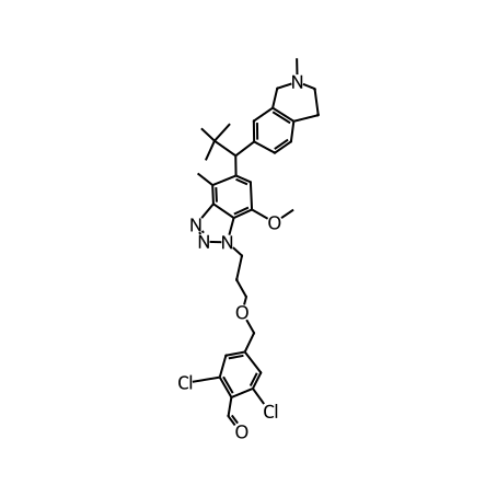 COc1cc(C(c2ccc3c(c2)CN(C)CC3)C(C)(C)C)c(C)c2nnn(CCCOCc3cc(Cl)c(C=O)c(Cl)c3)c12